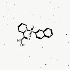 O=C(NO)C1CC=CCN1S(=O)(=O)c1ccc2ccccc2c1